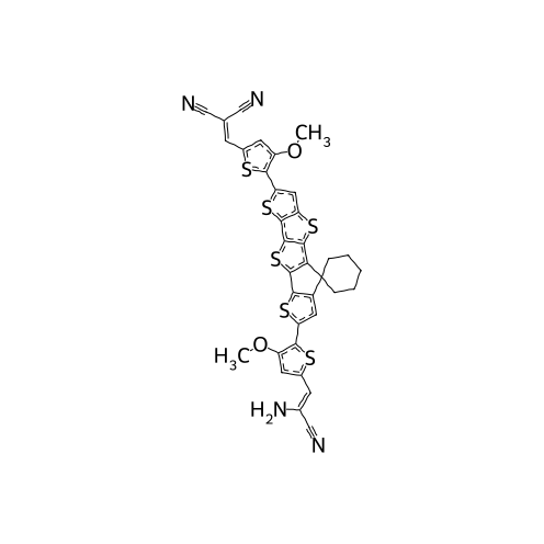 COc1cc(C=C(C#N)C#N)sc1-c1cc2sc3c4c(sc3c2s1)-c1sc(-c2sc(/C=C(\N)C#N)cc2OC)cc1C41CCCCC1